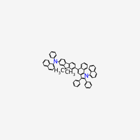 CC1(C)c2cc(-c3cc4c(-c5ccccc5)c(-c5ccccc5)n(-c5cccc6ccccc56)c4c4ccccc34)ccc2-c2ccc(N(c3ccccc3)c3cccc4ccccc34)cc21